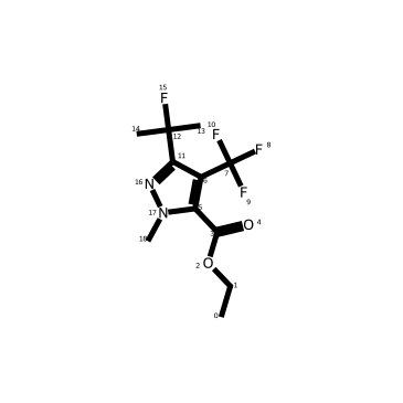 CCOC(=O)c1c(C(F)(F)F)c(C(C)(C)F)nn1C